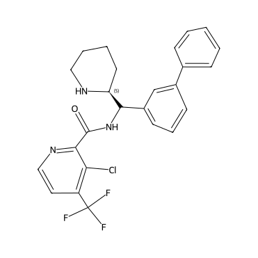 O=C(NC(c1cccc(-c2ccccc2)c1)[C@@H]1CCCCN1)c1nccc(C(F)(F)F)c1Cl